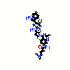 Cc1nc(N2CCC(Nc3ncc(Cl)c(-c4c[nH]c5ccccc45)n3)C2)c2ccc(NC(=O)/C=C/CN(C)C)cc2n1